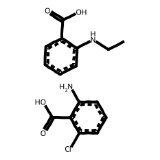 CCNc1ccccc1C(=O)O.Nc1cccc(Cl)c1C(=O)O